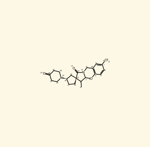 CC1C2Oc3ccc(C(F)(F)F)cc3CN2C(=O)[C@]12CC[C@@H](N1CCC(=O)CC1)C2